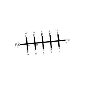 N#CC(F)(F)C(F)(F)C(F)(F)C(F)(F)C(F)(F)C(F)(F)F